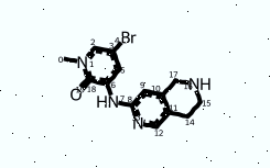 Cn1cc(Br)cc(Nc2cc3c(cn2)CCNC3)c1=O